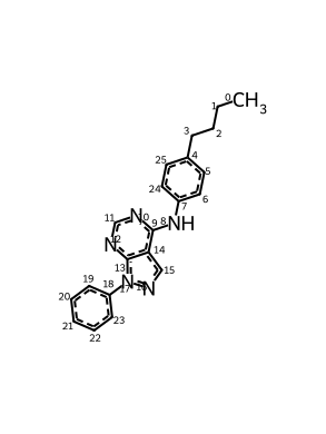 CCCCc1ccc(Nc2ncnc3c2cnn3-c2ccccc2)cc1